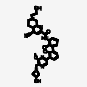 COc1nc(-c2cccc(-c3cccc(NC(=O)c4cc(C#N)c5c(n4)CN(CCO)CC5)c3Cl)c2Cl)cnc1CN1CC(O)C1